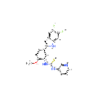 COc1ccc(-c2cc3cc(F)c(F)cc3[nH]2)cc1NC(=S)Nc1cccnc1